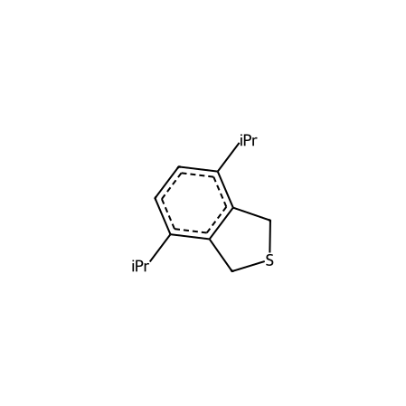 CC(C)c1ccc(C(C)C)c2c1CSC2